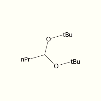 [CH2]CCC(OC(C)(C)C)OC(C)(C)C